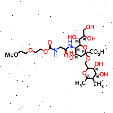 COCCOCCOC(=O)NCC(=O)N[C@H]1C([C@H](O)[C@H](O)CO)O[C@@](OCC2O[C@H](C)C(C)[C@@H](O)[C@H]2O)(C(=O)O)C[C@H]1O